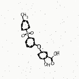 Cc1ccc(S(=O)(=O)c2cccc(Oc3ccc(O)c(C(=O)O)c3)c2)cc1